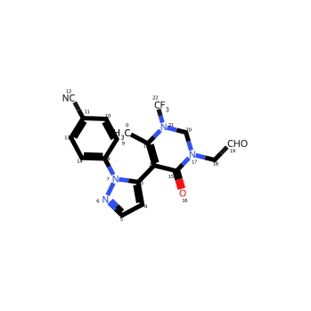 CC1=C(c2ccnn2-c2ccc(C#N)cc2)C(=O)N(CC=O)CN1C(F)(F)F